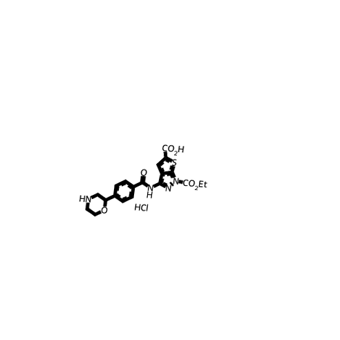 CCOC(=O)n1nc(NC(=O)c2ccc(C3CNCCO3)cc2)c2cc(C(=O)O)sc21.Cl